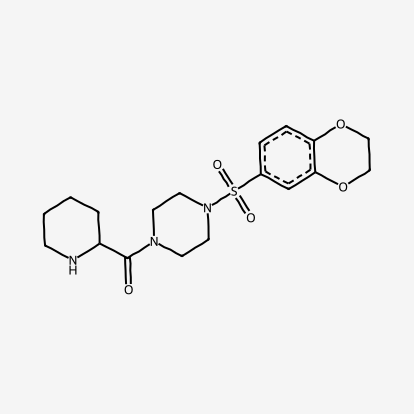 O=C(C1CCCCN1)N1CCN(S(=O)(=O)c2ccc3c(c2)OCCO3)CC1